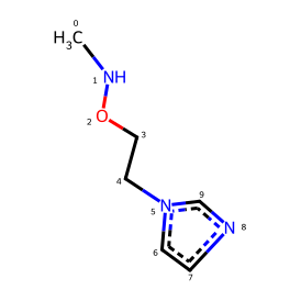 CNOCCn1ccnc1